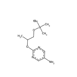 CC(CO[Si](C)(C)C(C)(C)C)Oc1ncc(N)cn1